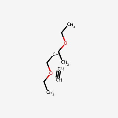 C#C.CCOCC.CCOCC